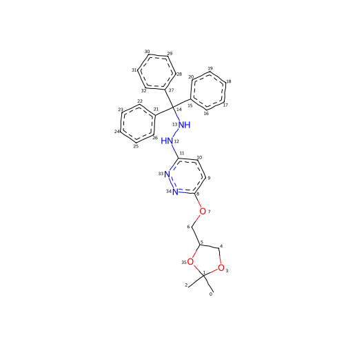 CC1(C)OCC(COc2ccc(NNC(c3ccccc3)(c3ccccc3)c3ccccc3)nn2)O1